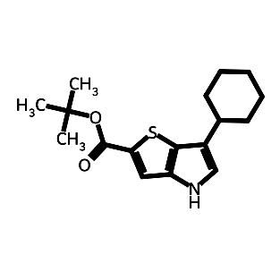 CC(C)(C)OC(=O)c1cc2[nH]cc(C3CCCCC3)c2s1